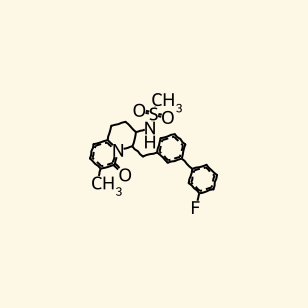 Cc1ccc2n(c1=O)C(Cc1cccc(-c3cccc(F)c3)c1)C(NS(C)(=O)=O)CC2